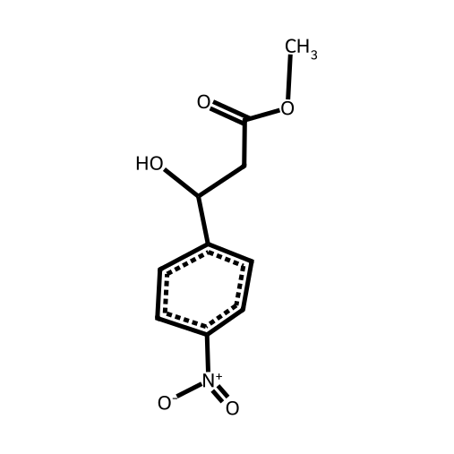 COC(=O)CC(O)c1ccc([N+](=O)[O-])cc1